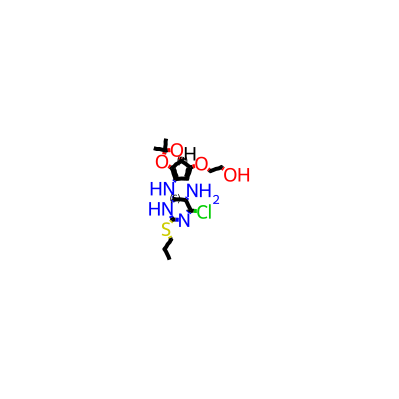 CCCSC1N=C(Cl)C(N)[C@@H](NC2=C3OC(C)(C)O[C@@H]3C(OCCO)=C2)N1